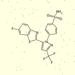 NS(=O)(=O)c1ccc(-n2nc(C(F)(F)F)cc2-c2nc3ccc(F)cc3s2)cc1